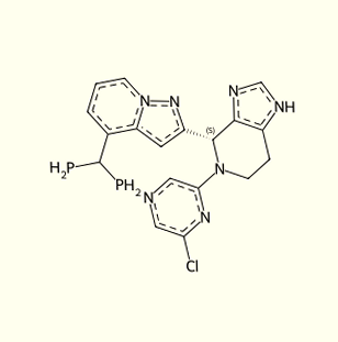 PC(P)c1cccn2nc([C@@H]3c4nc[nH]c4CCN3c3cncc(Cl)n3)cc12